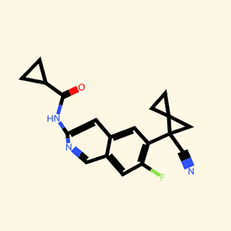 N#CC1(c2cc3cc(NC(=O)C4CC4)ncc3cc2F)CC12CC2